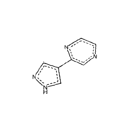 [c]1n[nH]cc1-c1cnccn1